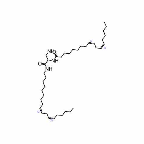 CCCCC/C=C\C/C=C\CCCCCCCCNC(=O)C(CN)NC(=O)CCCCCCC/C=C\C/C=C\CCCCC